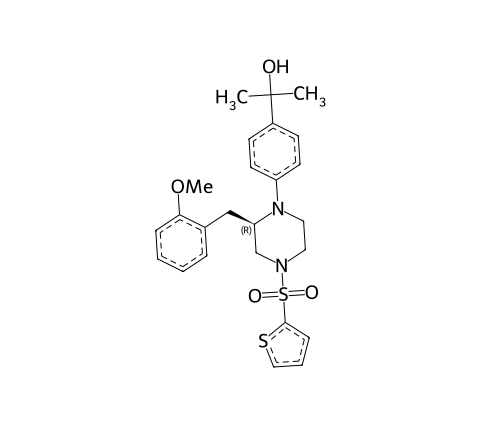 COc1ccccc1C[C@@H]1CN(S(=O)(=O)c2cccs2)CCN1c1ccc(C(C)(C)O)cc1